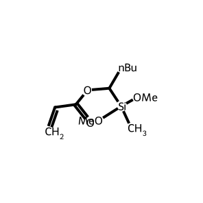 C=CC(=O)OC(CCCC)[Si](C)(OC)OC